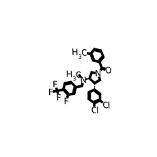 Cc1cccc(C(=O)N2C[C@H](c3ccc(Cl)c(Cl)c3)[C@@H](N(C)Cc3ccc(C(F)(F)F)c(F)c3)C2)c1